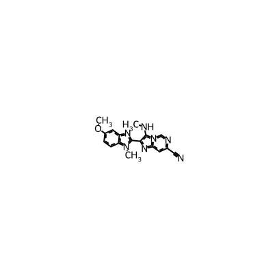 CNc1c(-c2nc3cc(OC)ccc3n2C)nc2cc(C#N)ncn12